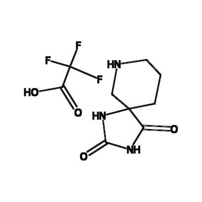 O=C(O)C(F)(F)F.O=C1NC(=O)C2(CCCNC2)N1